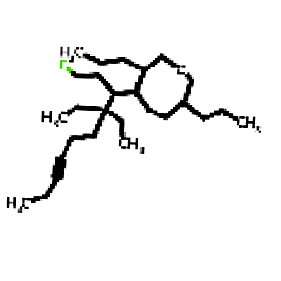 CCC#CCCC(CC)(CC)C(CCF)C1CCC(CCC)CCCC1CCC